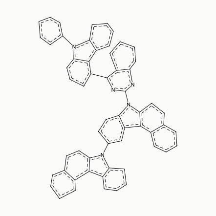 c1ccc(-n2c3ccccc3c3c(-c4nc(-n5c6ccc(-n7c8ccccc8c8c9ccccc9ccc87)cc6c6c7ccccc7ccc65)nc5ccccc45)cccc32)cc1